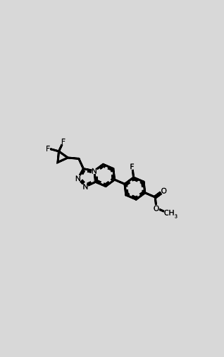 COC(=O)c1ccc(-c2ccn3c(CC4CC4(F)F)nnc3c2)c(F)c1